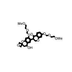 COCCOCOc1ccc2c(c1)OCC(c1cc3c(cc1OCOCCOC)OC1(COC1)CC3O)C2=O